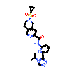 CC(C)n1cnnc1-c1cccc(NC(=O)c2cc3c(cn2)CCN(S(=O)(=O)C2CC2)C3)n1